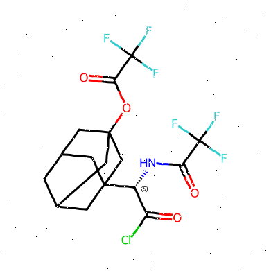 O=C(Cl)[C@@H](NC(=O)C(F)(F)F)C12CC3CC(CC(OC(=O)C(F)(F)F)(C3)C1)C2